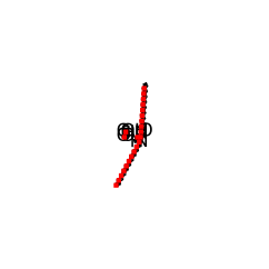 CCCCCCCCCCCCCCCCCCC1=NC(C(C)NC(=O)CCCCCCCCCCCCCCCCC)CN1C.COS(=O)(=O)O